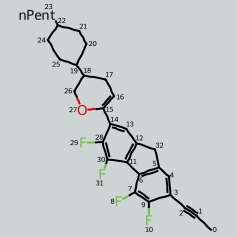 CC#Cc1cc2c(c(F)c1F)-c1c(cc(C3=CCC(C4CCC(CCCCC)CC4)CO3)c(F)c1F)C2